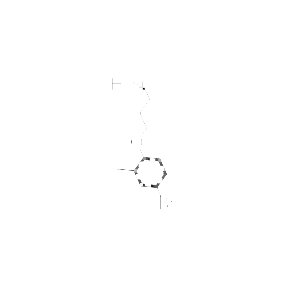 [SiH3]CCCOc1ccc(Br)cc1I